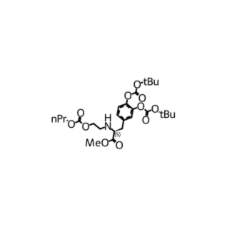 CCCOC(=O)OCCN[C@@H](Cc1ccc(OC(=O)OC(C)(C)C)c(OC(=O)OC(C)(C)C)c1)C(=O)OC